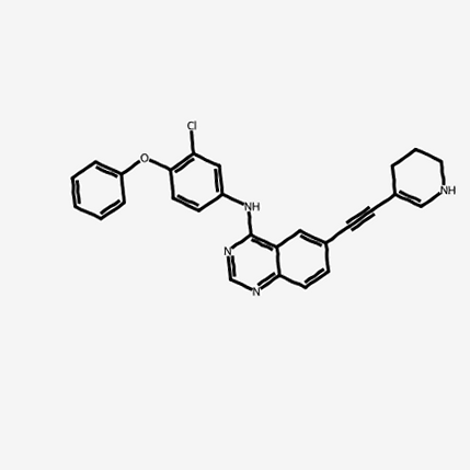 Clc1cc(Nc2ncnc3ccc(C#CC4=CNCCC4)cc23)ccc1Oc1ccccc1